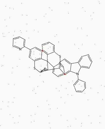 c1ccc(-n2c3ccccc3c3ccc(-c4cccc5c4C4(c6ccccc6Sc6ccccc64)c4ccc(-c6ccccn6)cc4S5)cc32)cc1